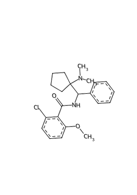 COc1cccc(Cl)c1C(=O)NC(c1ccccc1)C1(N(C)C)CCCC1